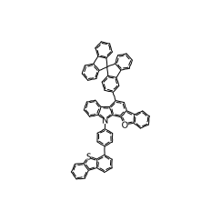 c1ccc2c(c1)-c1ccccc1C21c2ccccc2-c2cc(-c3cc4c5ccccc5oc4c4c3c3ccccc3n4-c3ccc(-c4cccc5c4sc4ccccc45)cc3)ccc21